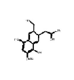 COc1cc(O)c2c(c1O)=CC(CC(C)O)C(CO)C=2